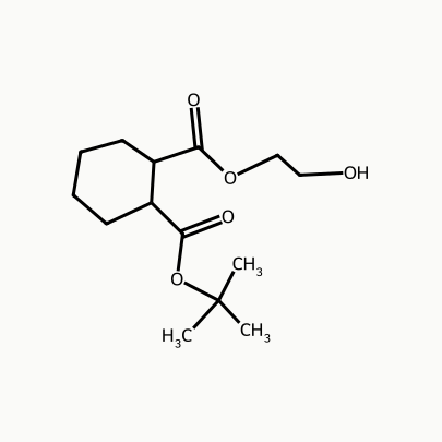 CC(C)(C)OC(=O)C1CCCCC1C(=O)OCCO